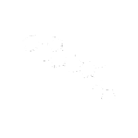 CC(NC(=O)Nc1cc(S(=O)(=O)N2CCCC2)c(Cl)cc1F)c1ncnn1-c1ncccn1